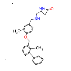 Cc1cc(CNCC2CC(=O)N2)ccc1OCc1cccc(-c2ccccc2)c1C